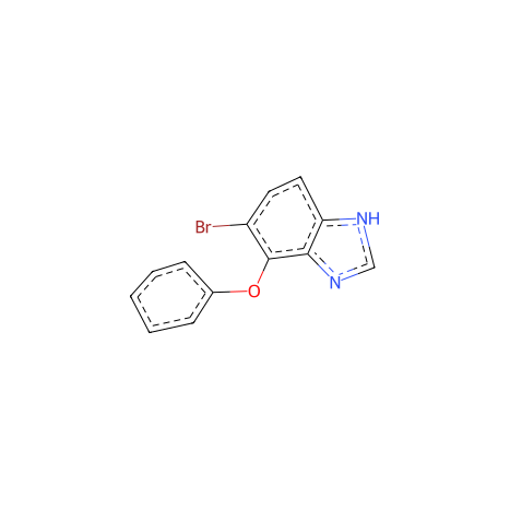 Brc1ccc2[nH]cnc2c1Oc1ccccc1